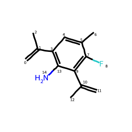 C=C(C)c1cc(C)c(F)c(C(=C)C)c1N